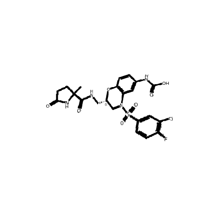 CC1(C(=O)NC[C@H]2CN(S(=O)(=O)c3ccc(F)c(Cl)c3)c3cc(NC(=O)O)ccc3O2)CCC(=O)N1